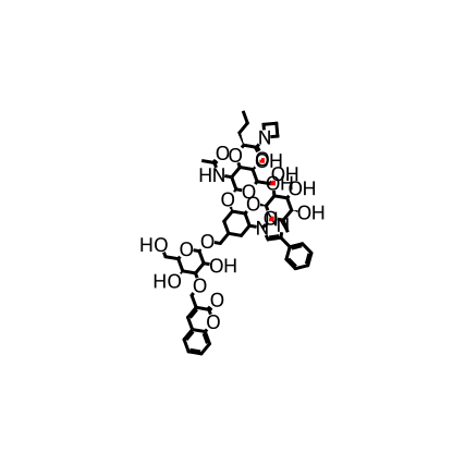 CCC[C@H](OC1C(NC(C)=O)[C@H](O[C@@H]2CC(CO[C@H]3OC(CO)[C@@H](O)C(OCc4cc5ccccc5oc4=O)C3O)CC(n3cc(-c4ccccc4)nn3)C2O[C@@H]2OC(C)[C@@H](O)C(O)C2O)OC(CO)[C@@H]1O)C(=O)N1CCC1